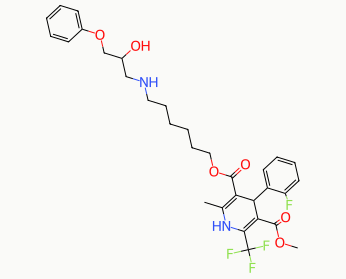 COC(=O)C1=C(C(F)(F)F)NC(C)=C(C(=O)OCCCCCCNCC(O)COc2ccccc2)C1c1ccccc1F